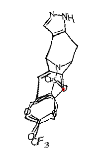 O=c1oc2cc3c(cc2o1)C1c2cn[nH]c2CC3N1S(=O)(=O)c1ccc(C(F)(F)F)cc1